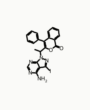 CC(c1oc(=O)c2ccccc2c1-c1ccccc1)n1nc(I)c2c(N)ncnc21